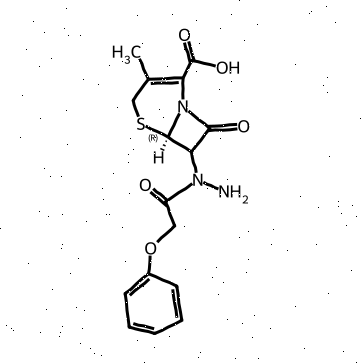 CC1=C(C(=O)O)N2C(=O)C(N(N)C(=O)COc3ccccc3)[C@H]2SC1